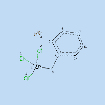 Br.[Cl][Zn]([Cl])([Cl])[CH2]c1ccccc1